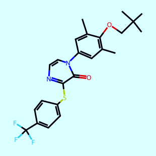 Cc1cc(-n2ccnc(Sc3ccc(C(F)(F)F)cc3)c2=O)cc(C)c1OCC(C)(C)C